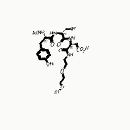 CCOCCOCCNC(=O)[C@H](CC(=O)O)NC(=O)[C@@H](CC(C)C)NC(=O)[C@H](Cc1ccc(O)cc1)NC(C)=O